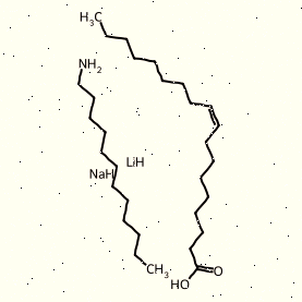 CCCCCCCC/C=C\CCCCCCCC(=O)O.CCCCCCCCCCCCN.[LiH].[NaH]